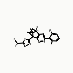 CC1(C)[C@H]2CCC1(c1nnc(C(F)F)o1)c1nnc(-c3c(F)cccc3F)cc12